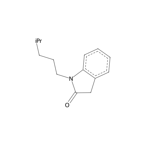 CC(C)CCCN1C(=O)Cc2ccccc21